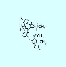 C=C(Nc1cccc(CCc2cc(C)c(CC)cc2/N=C\C)c1)Nc1cc(C(C)(F)F)nn1-c1ccc(F)cc1